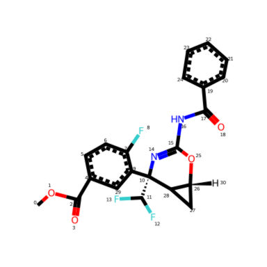 COC(=O)c1ccc(F)c([C@@]2(C(F)F)N=C(NC(=O)c3ccccc3)O[C@@H]3CC32)c1